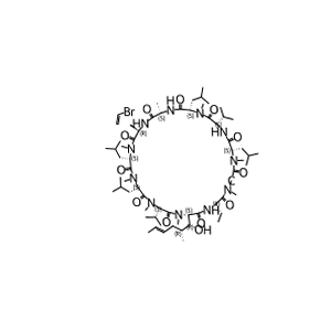 C=CBr.CC=CC[C@@H](C)[C@@H](O)[C@H]1C(=O)N[C@@H](CC)C(=O)N(C)CC(=O)N(C)[C@@H](CC(C)C)C(=O)N[C@@H](C(C)C)C(=O)N(C)[C@@H](CC(C)C)C(=O)N[C@@H](C)C(=O)N[C@H](C)C(=O)N(C)[C@@H](CC(C)C)C(=O)N(C)[C@@H](CC(C)C)C(=O)N(C)[C@@H](C(C)C)C(=O)N1C